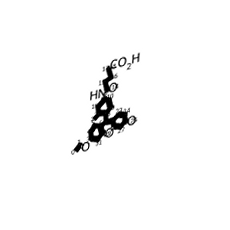 C=COc1ccc2c(-c3ccc(NC(=O)CCCC(=O)O)cc3C)c3ccc(=O)cc-3oc2c1